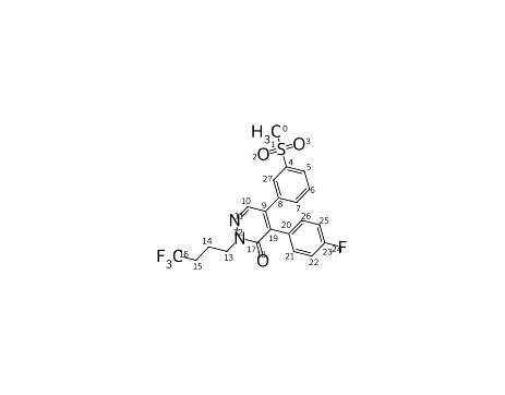 CS(=O)(=O)c1cccc(-c2cnn(CCCC(F)(F)F)c(=O)c2-c2ccc(F)cc2)c1